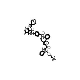 Cc1cnc(N2CC3(CCOCC3)C2)c(C(=O)Nc2ccc(C(=O)N3CCc4cc(C(=O)c5nc6ccccc6n5COCC[Si](C)(C)C)oc4-c4ccccc43)cc2)c1